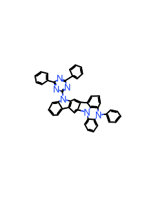 c1ccc(-c2nc(-c3ccccc3)nc(-n3c4ccccc4c4cc5c(cc43)c3cccc4c3n5-c3ccccc3N4c3ccccc3)n2)cc1